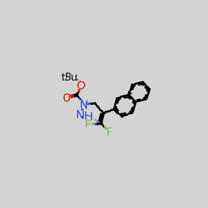 CC(C)(C)OC(=O)N(N)CC(=C(F)F)c1ccc2ccccc2c1